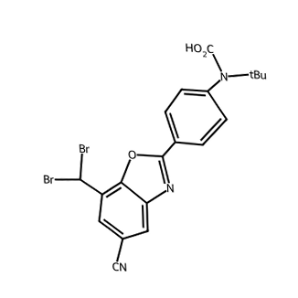 CC(C)(C)N(C(=O)O)c1ccc(-c2nc3cc(C#N)cc(C(Br)Br)c3o2)cc1